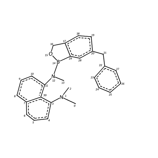 CN(C)c1cccc2cccc(N(C)B3OCc4ccc(Cc5ccccc5)cc43)c12